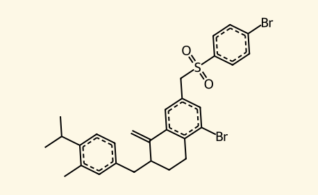 C=C1c2cc(CS(=O)(=O)c3ccc(Br)cc3)cc(Br)c2CCC1Cc1ccc(C(C)C)c(C)c1